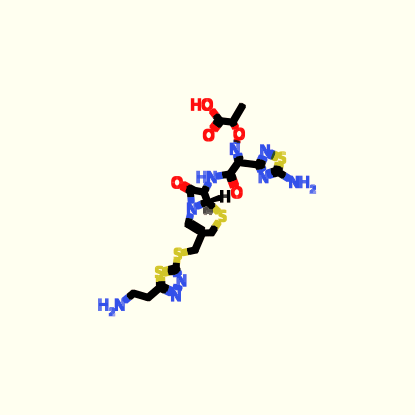 CC(ON=C(C(=O)NC1C(=O)N2C=C(CSc3nnc(CCN)s3)CS[C@@H]12)c1nsc(N)n1)C(=O)O